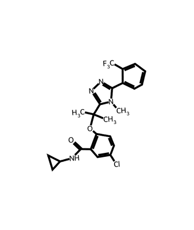 Cn1c(-c2ccccc2C(F)(F)F)nnc1C(C)(C)Oc1ccc(Cl)cc1C(=O)NC1CC1